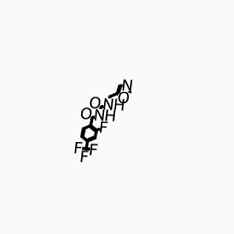 O=C(NCc1cnco1)NC(=O)c1ccc(C(F)(F)F)cc1F